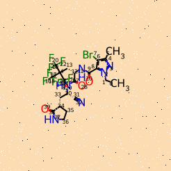 CCn1nc(C)c(Br)c1C(=O)N[C@@H](CC(C(F)(F)F)(C(F)(F)F)C(F)(F)F)C(=O)N[C@H](C#N)C[C@@H]1CCNC1=O